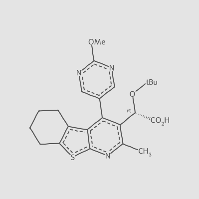 COc1ncc(-c2c([C@H](OC(C)(C)C)C(=O)O)c(C)nc3sc4c(c23)CCCC4)cn1